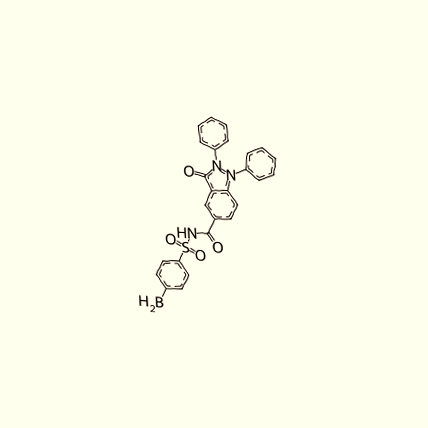 Bc1ccc(S(=O)(=O)NC(=O)c2ccc3c(c2)c(=O)n(-c2ccccc2)n3-c2ccccc2)cc1